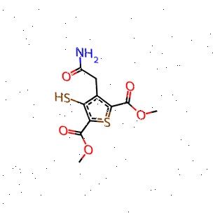 COC(=O)c1sc(C(=O)OC)c(CC(N)=O)c1S